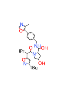 Cc1ncoc1-c1ccc(CNC(O)C2CC(O)CN2C(=O)C(c2cc(C(C)(C)C)no2)C(C)C)cc1